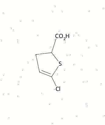 O=C(O)C1CC=C(Cl)S1